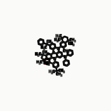 Cc1cc2c(cc1N1c3ccc(C(C)(C)c4ccccc4)cc3B3c4cc5c(cc4N(c4ccc(C(C)(C)C)cc4-c4ccccc4)c4cc(N(c6ccccc6)c6ccccc6)cc1c43)C(C)(C)CC5(C)C)C(C)(C)CCC2(C)C